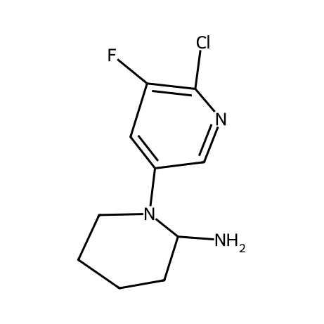 NC1CCCCN1c1cnc(Cl)c(F)c1